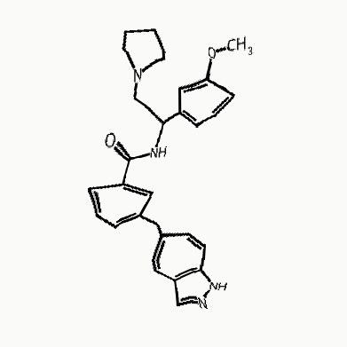 COc1cccc(C(CN2CCCC2)NC(=O)c2cccc(-c3ccc4[nH]ncc4c3)c2)c1